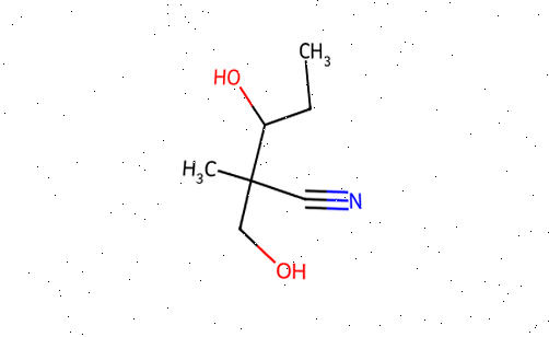 CCC(O)C(C)(C#N)CO